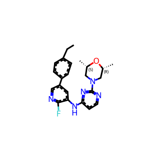 CCc1ccc(-c2cnc(F)c(Nc3ccnc(N4C[C@@H](C)O[C@@H](C)C4)n3)c2)cc1